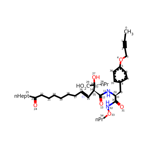 CC#CCOc1ccc(C[C@H](NC(=O)[C@@H](/C=C/CCCCCCC(=O)CCCCCCC)[C@@](O)(CCC)C(=O)O)C(=O)NOCCC)cc1